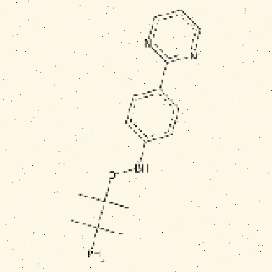 CC(C)(P)C(C)(C)OBc1ccc(-c2ncccn2)cc1